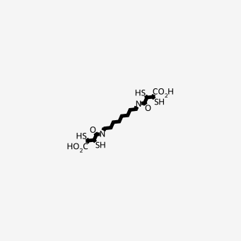 O=C(O)C(S)C(S)C(=O)N=CCCCCCCC=NC(=O)C(S)C(S)C(=O)O